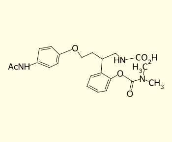 CC(=O)Nc1ccc(OCCC(CNC(=O)O)c2ccccc2OC(=O)N(C)C)cc1